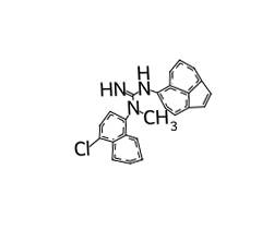 CN(C(=N)Nc1ccc2c3c(cccc13)C=C2)c1ccc(Cl)c2ccccc12